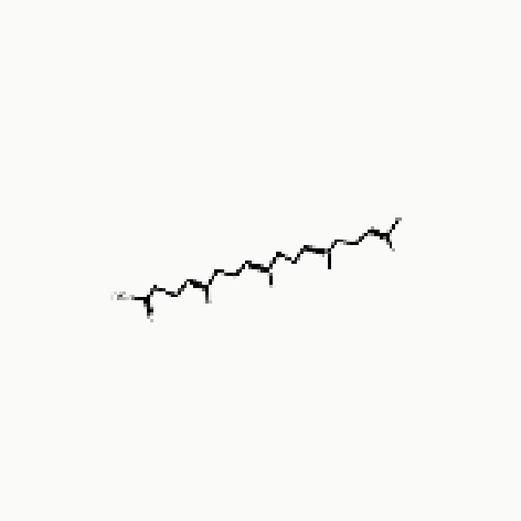 CCCCC(=O)CC/C=C(\C)CC/C=C(\C)CC/C=C(\C)CCC=C(C)C